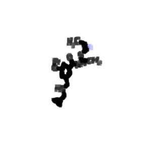 C=C(NC(=O)c1cc(CNCC2CC2)cc(OC(C)C)c1)S/C=C\C